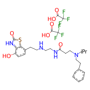 CC(C)N(CCC(=O)NCCNCCc1ccc(O)c2[nH]c(=O)sc12)CCc1ccccc1.O=C(O)C(F)(F)F.O=C(O)C(F)(F)F